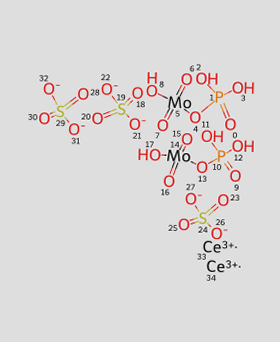 O=P(O)(O)[O][Mo](=[O])(=[O])[OH].O=P(O)(O)[O][Mo](=[O])(=[O])[OH].O=S(=O)([O-])[O-].O=S(=O)([O-])[O-].O=S(=O)([O-])[O-].[Ce+3].[Ce+3]